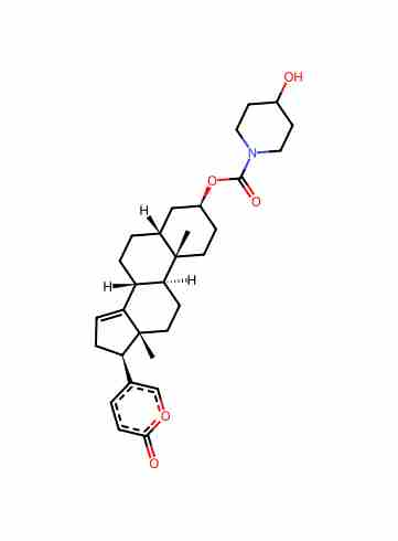 C[C@]12CC[C@H](OC(=O)N3CCC(O)CC3)C[C@H]1CC[C@H]1C3=CC[C@H](c4ccc(=O)oc4)[C@@]3(C)CC[C@@H]12